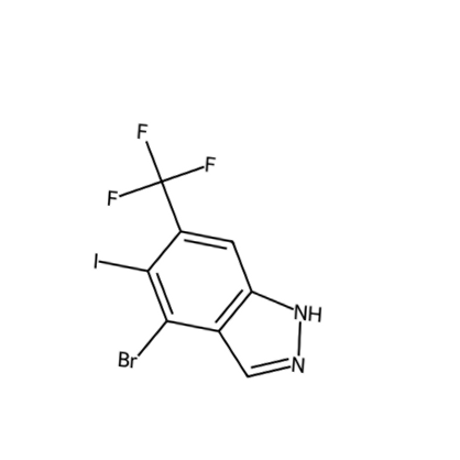 FC(F)(F)c1cc2[nH]ncc2c(Br)c1I